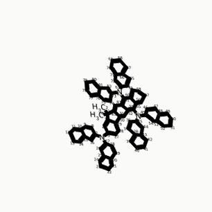 CC1(C)c2cc(N(c3ccc4ccccc4c3)c3ccc4ccccc4c3)ccc2-c2cc3c(N(c4ccc5ccccc5c4)c4ccc5ccccc5c4)c4ccccc4c(N(c4ccc5ccccc5c4)c4ccc5ccccc5c4)c3cc21